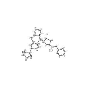 CCN(Cc1ccccn1)C1CC(N2c3ccccc3Sc3cc(-c4nnn[nH]4)ccc32)[C@H](C)C1